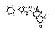 C[C@H](Nc1nc(-c2cccnc2)cs1)c1cc2cc(Cl)cc(F)c2[nH]c1=O